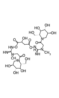 CN(CC(=O)N1C[C@H](O)[C@@H](O)[C@H](O)[C@H]1CO)C(=N)NOC(=O)CC(O)C(=O)ONC(=N)N(C)CC(=O)N1C[C@H](O)[C@@H](O)[C@H](O)[C@H]1CO